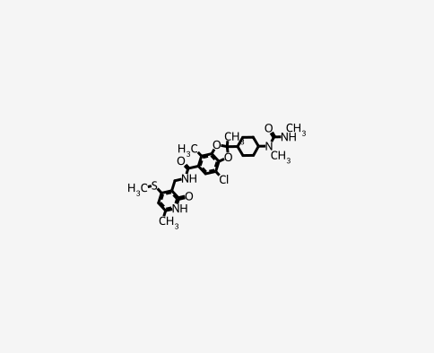 CNC(=O)N(C)C1CCC(C2(C)Oc3c(Cl)cc(C(=O)NCc4c(SC)cc(C)[nH]c4=O)c(C)c3O2)CC1